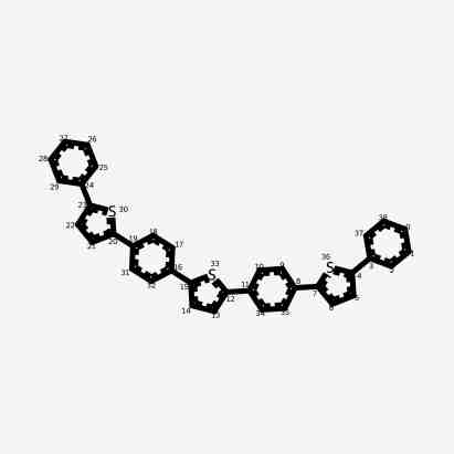 c1ccc(-c2ccc(-c3ccc(-c4ccc(-c5ccc(-c6ccc(-c7ccccc7)s6)cc5)s4)cc3)s2)cc1